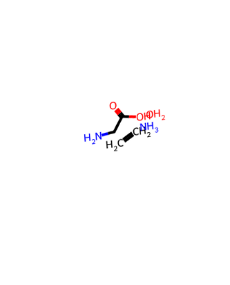 C=C.N.NCC(=O)O.O